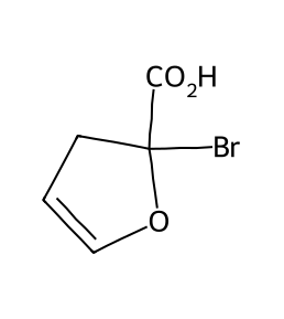 O=C(O)C1(Br)CC=CO1